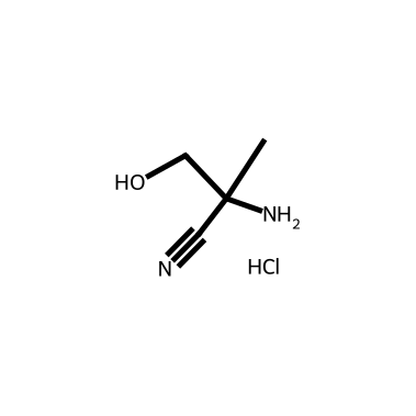 CC(N)(C#N)CO.Cl